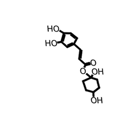 O=C(C=Cc1ccc(O)c(O)c1)OC1(O)CCC(O)CC1